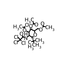 CC(=O)OCC1O[C@@H](C(C)(C)C)C(NC(=O)C(Cl)(Cl)Cl)C(OC(C)=O)[C@@H]1OC(C)=O